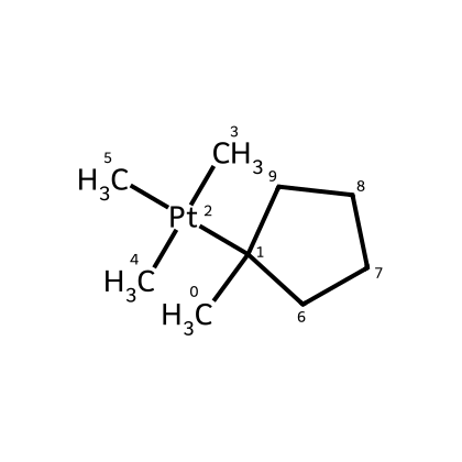 C[C]1([Pt]([CH3])([CH3])[CH3])CCCC1